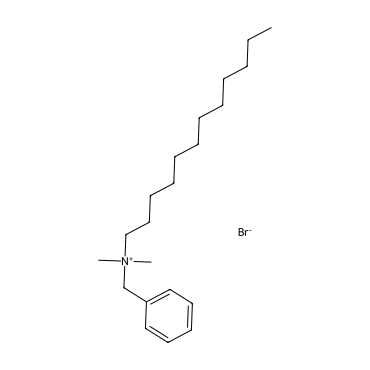 CCCCCCCCCCCC[N+](C)(C)Cc1ccccc1.[Br-]